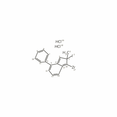 CC1(I)C=c2c(-c3ccccc3)cccc2=[C]1[Zr].Cl.Cl